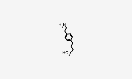 NCCc1ccc(CCCC(=O)O)cc1